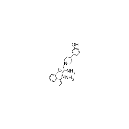 C/C=C(\c1ccccc1C1CC1)N(N)/C=C(\N)CN1CCC(c2cccc(O)c2)CC1